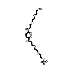 CS(=O)(=O)OCCOCCOCCNC(=O)/C=C\C(=O)NCCOCCOCCO